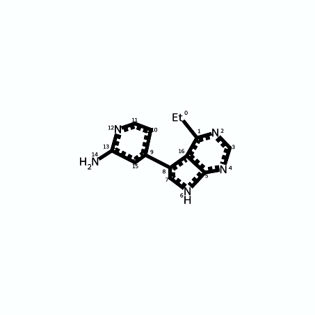 CCc1ncnc2[nH]cc(-c3ccnc(N)c3)c12